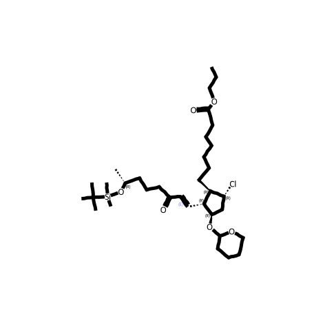 CCCOC(=O)CCCCCC[C@@H]1[C@@H](/C=C/C(=O)CCC[C@@H](C)O[Si](C)(C)C(C)(C)C)[C@H](OC2CCCCO2)C[C@H]1Cl